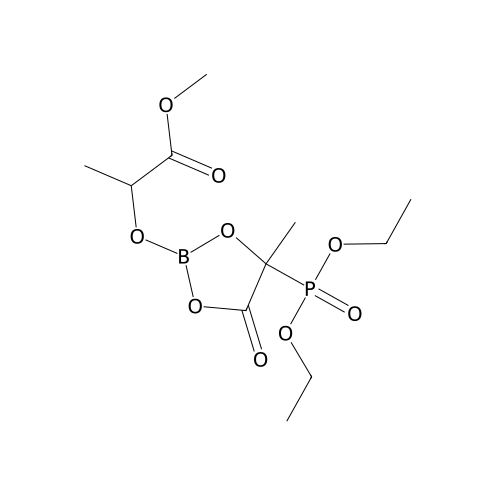 CCOP(=O)(OCC)C1(C)OB(OC(C)C(=O)OC)OC1=O